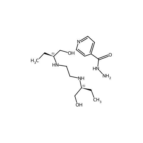 CC[C@@H](CO)NCCN[C@@H](CC)CO.NNC(=O)c1ccncc1